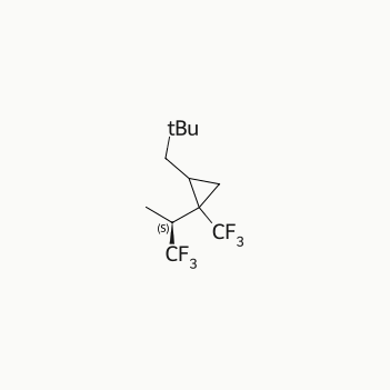 C[C@H](C(F)(F)F)C1(C(F)(F)F)CC1CC(C)(C)C